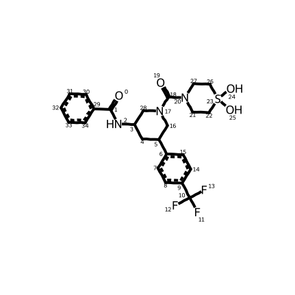 O=C(NC1CC(c2ccc(C(F)(F)F)cc2)CN(C(=O)N2CCS(O)(O)CC2)C1)c1ccccc1